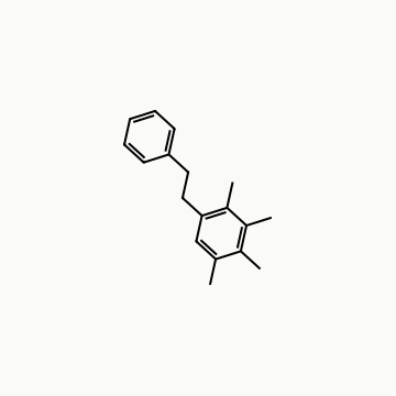 Cc1cc(CCc2ccccc2)c(C)c(C)c1C